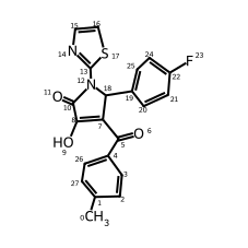 Cc1ccc(C(=O)C2=C(O)C(=O)N(c3nccs3)C2c2ccc(F)cc2)cc1